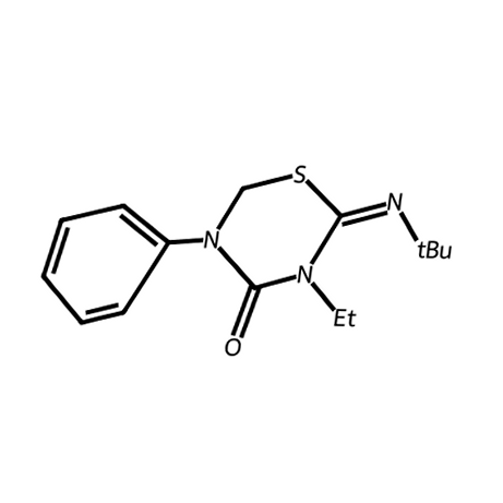 CCN1C(=O)N(c2ccccc2)CSC1=NC(C)(C)C